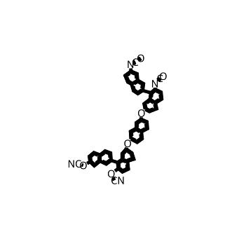 N#COc1ccc2ccc(-c3c(OC#N)ccc4ccc(Oc5ccc6ccc(Oc7ccc8ccc(N=C=O)c(-c9ccc%10ccc(N=C=O)cc%10c9)c8c7)cc6c5)cc34)cc2c1